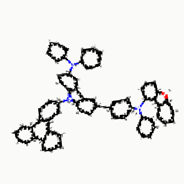 c1ccc(N(c2ccccc2)c2ccc3c(c2)c2cc(-c4ccc(N(c5ccccc5)c5cccc6oc7ccccc7c56)cc4)ccc2n3-c2ccc3c4ccccc4c4ccccc4c3c2)cc1